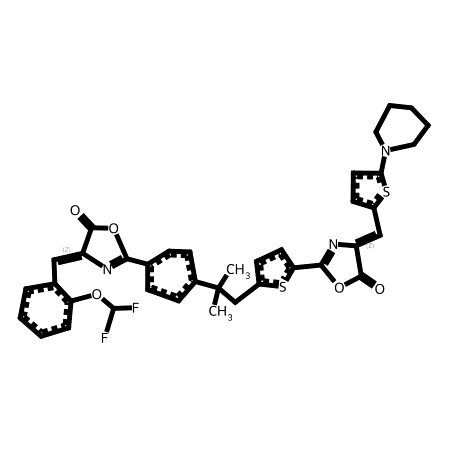 CC(C)(Cc1ccc(C2=N/C(=C\c3ccc(N4CCCCC4)s3)C(=O)O2)s1)c1ccc(C2=N/C(=C\c3ccccc3OC(F)F)C(=O)O2)cc1